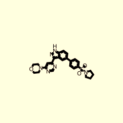 O=S(=O)(c1ccc(-c2ccc3[nH]nc(-c4cc(N5CCOCC5)ncn4)c3c2)cc1)N1CCCC1